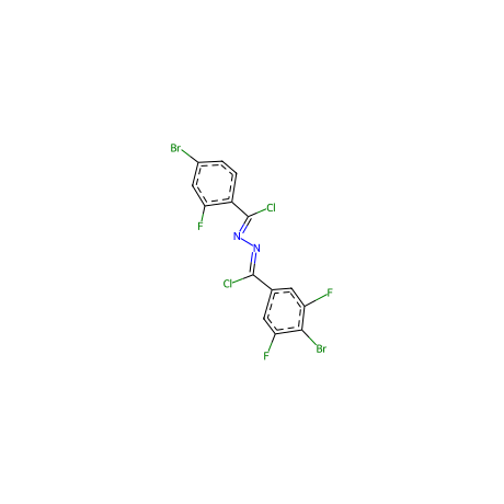 Fc1cc(Br)ccc1C(Cl)=NN=C(Cl)c1cc(F)c(Br)c(F)c1